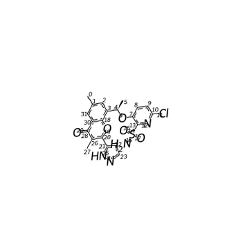 Cc1cc([C@@H](C)Oc2ccc(Cl)nc2S(N)(=O)=O)c2oc(-c3ccn[nH]3)c(C)c(=O)c2c1